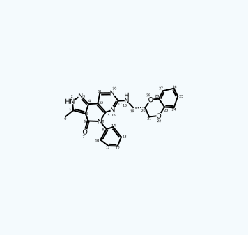 Cc1[nH]nc2c1c(=O)n(-c1ccccc1)c1nc(NC[C@H]3COc4ccccc4O3)ncc21